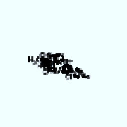 CNC(=O)[C@H]1C[C@H]2C[C@H](C2(C)C)[C@@]1(C)Nc1nc(Nc2ccc(Cl)c(N3CCN(C(C)=O)CC3)c2)ncc1Cl